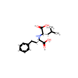 CC(C)C[C@H](N[C@@H](CCc1ccccc1)C(=O)O)C(=O)O